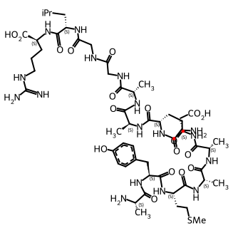 CSCC[C@H](NC(=O)[C@H](Cc1ccc(O)cc1)NC(=O)[C@H](C)N)C(=O)N[C@@H](C)C(=O)N[C@@H](C)C(=O)N[C@@H](CC(=O)O)C(=O)N[C@@H](CCC(N)=O)C(=O)N[C@@H](C)C(=O)N[C@@H](C)C(=O)NCC(=O)NCC(=O)N[C@@H](CC(C)C)C(=O)N[C@@H](CCCNC(=N)N)C(=O)O